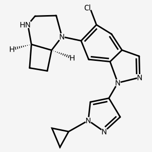 Clc1cc2cnn(-c3cnn(C4CC4)c3)c2cc1N1CCN[C@@H]2CC[C@@H]21